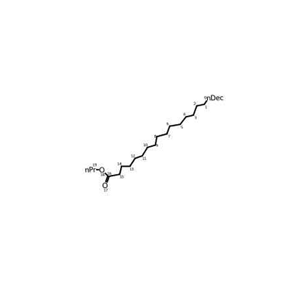 CCCCCCCCCCCCCCCCCCCCCCCCCC(=O)OCCC